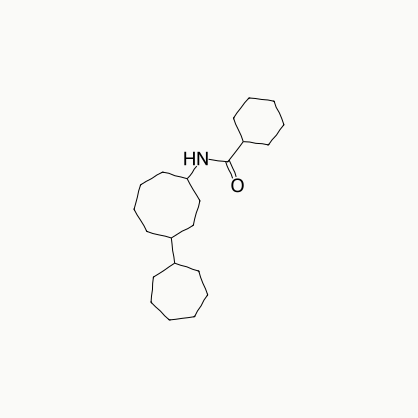 O=C(NC1CCCCC(C2CCCCCC2)CC1)C1CCCCC1